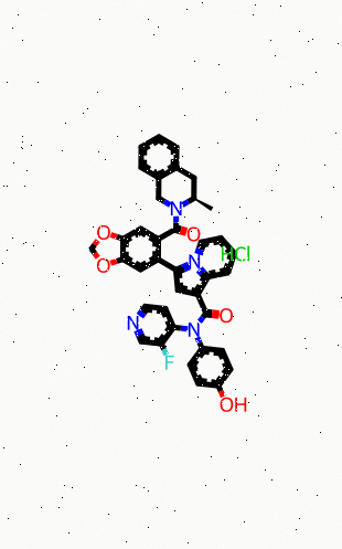 C[C@@H]1Cc2ccccc2CN1C(=O)c1cc2c(cc1-c1cc(C(=O)N(c3ccc(O)cc3)c3ccncc3F)c3ccccn13)OCO2.Cl